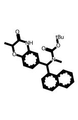 CC1Oc2ccc(C(c3cccc4ccccc34)N(C)C(=O)OC(C)(C)C)cc2NC1=O